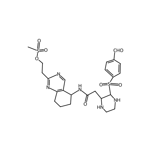 CS(=O)(=O)OCCc1ncc2c(n1)CCCC2NC(=O)CC1NCCNC1S(=O)(=O)c1ccc(C=O)cc1